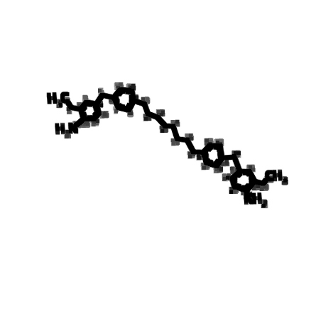 CCc1cc(Cc2ccc(CCCCCCCCc3ccc(Cc4ccc(N)c(CC)c4)cc3)cc2)ccc1N